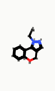 CC(=O)Cn1ncc2c1-c1ccccc1OC2